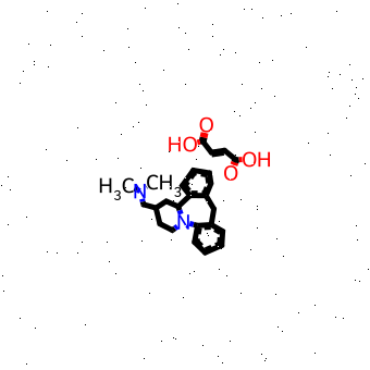 CN(C)CC1CCN2c3ccccc3Cc3ccccc3C2C1.O=C(O)C=CC(=O)O